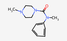 CN1CCN(C(=O)N(C)c2ccccc2)CC1